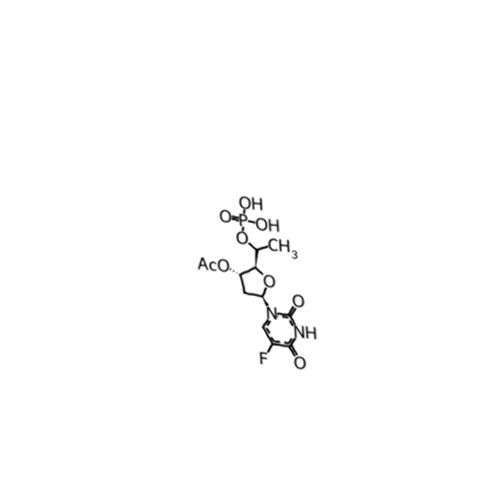 CC(=O)O[C@H]1C[C@H](n2cc(F)c(=O)[nH]c2=O)O[C@@H]1C(C)OP(=O)(O)O